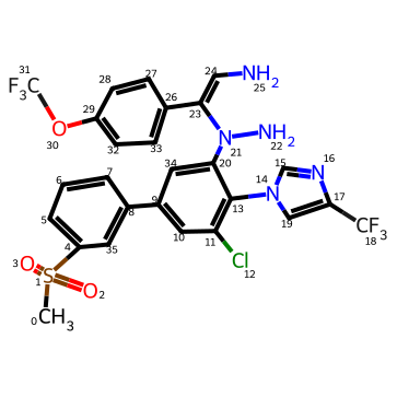 CS(=O)(=O)c1cccc(-c2cc(Cl)c(-n3cnc(C(F)(F)F)c3)c(N(N)/C(=C\N)c3ccc(OC(F)(F)F)cc3)c2)c1